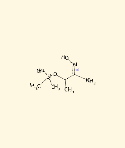 CC(O[Si](C)(C)C(C)(C)C)/C(N)=N\O